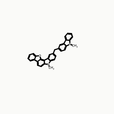 Cn1c2ccccc2c2cc(Cc3ccc4c(c3)c3c5oc6ccccc6c5ccc3n4C)ccc21